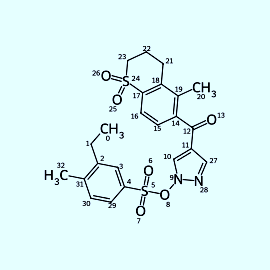 CCc1cc(S(=O)(=O)On2cc(C(=O)c3ccc4c(c3C)CCCS4(=O)=O)cn2)ccc1C